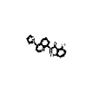 O=C(Nc1cccc2c(-n3cccn3)ccnc12)c1c(Cl)cccc1Cl